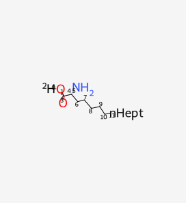 [2H]OC(=O)[C@H](N)CCCCCCCCCCCC